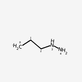 [CH2]CCNN